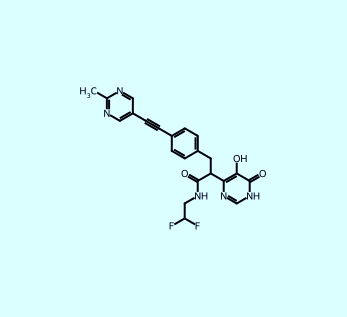 Cc1ncc(C#Cc2ccc(CC(C(=O)NCC(F)F)c3nc[nH]c(=O)c3O)cc2)cn1